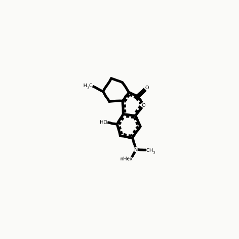 CCCCCCN(C)c1cc(O)c2c3c(c(=O)oc2c1)CCC(C)C3